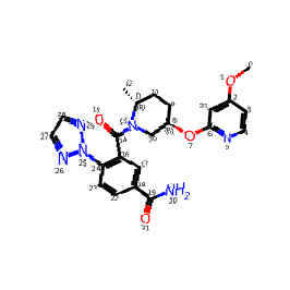 COc1ccnc(O[C@@H]2CC[C@@H](C)N(C(=O)c3cc(C(N)=O)ccc3-n3nccn3)C2)c1